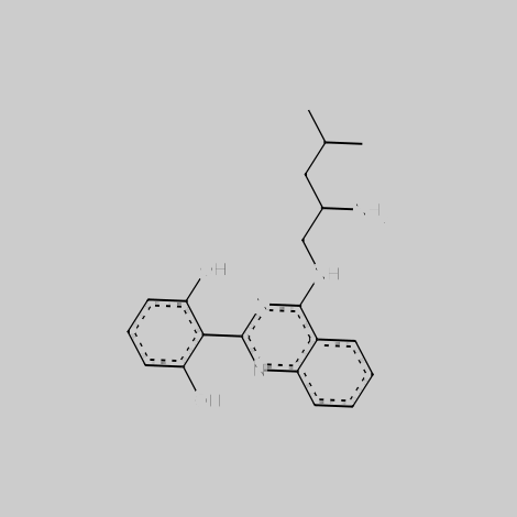 CC(C)CC(N)CNc1nc(-c2c(O)cccc2O)nc2ccccc12